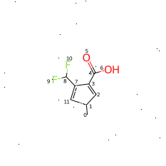 CC1C=C(C(=O)O)C(C(F)F)=C1